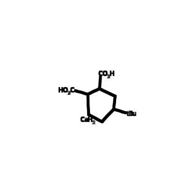 CC(C)(C)C1CCC(C(=O)O)C(C(=O)O)C1.[CaH2]